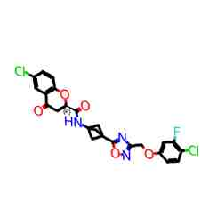 O=C1C[C@H](C(=O)NC23CC(c4nc(COc5ccc(Cl)c(F)c5)no4)(C2)C3)Oc2ccc(Cl)cc21